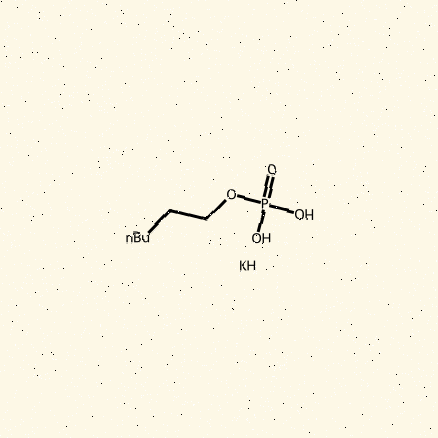 CCCCCCOP(=O)(O)O.[KH]